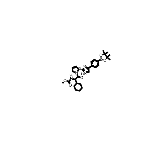 COC(=O)NC(C(=O)N1CC=C[C@H]1c1nc(-c2ccc(B3OC(C)(C)C(C)(C)O3)cc2)c[nH]1)C1CCCCC1